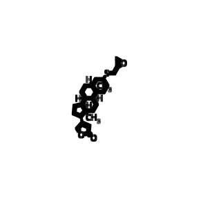 C[C@]12CC[C@H](SCC3CO3)C[C@H]1CC[C@@H]1[C@@H]2CC[C@]2(C)[C@@H](C3=CC(=O)OC3)CC[C@@H]12